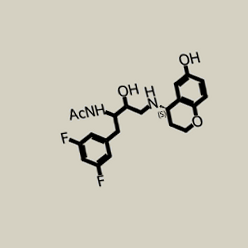 CC(=O)NC(Cc1cc(F)cc(F)c1)C(O)CN[C@H]1CCOc2ccc(O)cc21